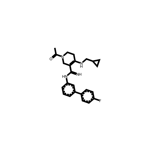 CC(=O)N1CCC(NCC2CC2)=C(C(=N)Nc2cccc(-c3ccc(F)cc3)c2)C1